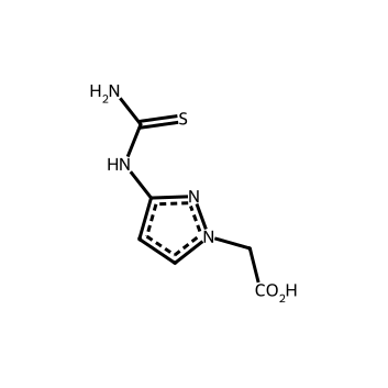 NC(=S)Nc1ccn(CC(=O)O)n1